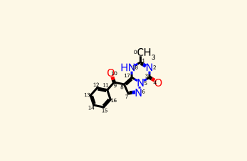 Cc1nc(=O)n2ncc(C(=O)c3ccccc3)c2[nH]1